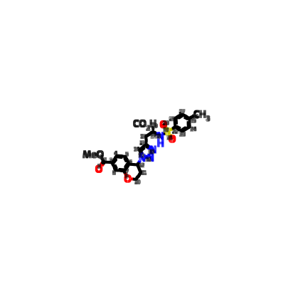 COC(=O)c1ccc2c(c1)OCCC2n1cc(C[C@H](NS(=O)(=O)c2ccc(C)cc2)C(=O)O)nn1